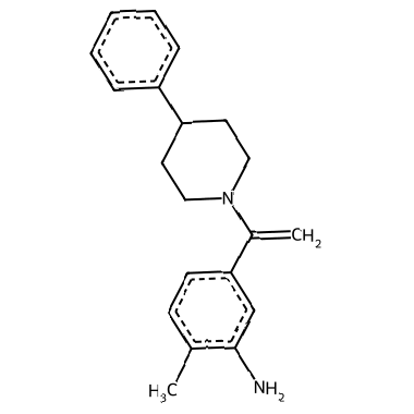 C=C(c1ccc(C)c(N)c1)N1CCC(c2ccccc2)CC1